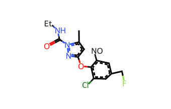 CCNC(=O)n1nc(Oc2c(Cl)cc(CF)cc2N=O)cc1C